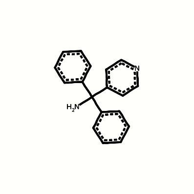 NC(c1ccccc1)(c1ccccc1)c1ccncc1